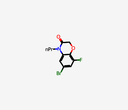 CCCN1C(=O)COc2c(F)cc(Br)cc21